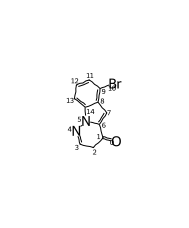 O=C1CC=Nn2c1cc1c(Br)cccc12